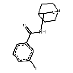 O=C(NC1CN2CCC1CC2)c1cccc(I)c1